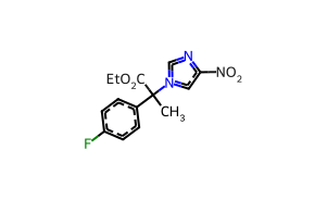 CCOC(=O)C(C)(c1ccc(F)cc1)n1cnc([N+](=O)[O-])c1